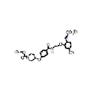 CCOC(=O)/C=C/c1ccc(C#N)cc1OCCNC(=O)c1ccc(OC2CCN(C(=O)OC(C)(C)C)CC2)cc1